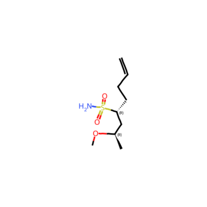 C=CCC[C@H](C[C@@H](C)OC)S(N)(=O)=O